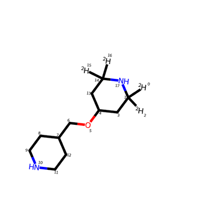 [2H]C1([2H])CC(OCC2CCNCC2)CC([2H])([2H])N1